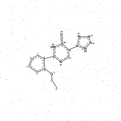 CCOc1ccccc1-c1ncc(-c2nnn[nH]2)c(=O)[nH]1